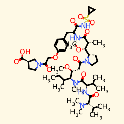 CC[C@H](C)[C@@H]([C@@H](CC(=O)N1CCC[C@H]1[C@H](OC)[C@@H](C)C(=O)N[C@@H](Cc1ccc(OCC(=O)N2CC[C@@H](C(=O)O)C2)cc1)C(=O)NS(=O)(=O)C1CC1)OC)N(C)C(=O)[C@@H](NC(=O)[C@H](C(C)C)N(C)C)C(C)C